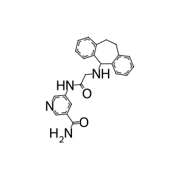 NC(=O)c1cncc(NC(=O)CNC2c3ccccc3CCc3ccccc32)c1